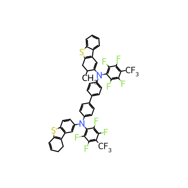 CC1Cc2sc3ccccc3c2C=C1N(c1ccc(-c2ccc(N(c3ccc4sc5c(c4c3)CCC=C5)c3c(F)c(F)c(C(F)(F)F)c(F)c3F)cc2)cc1)c1c(F)c(F)c(C(F)(F)F)c(F)c1F